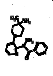 CC1(N)CCN(c2cccnc2N(N)C(=O)c2cnccn2)CC1